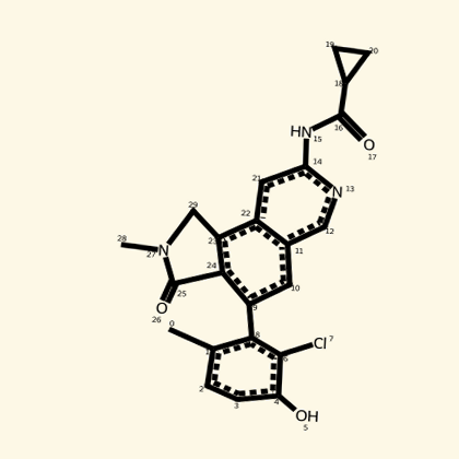 Cc1ccc(O)c(Cl)c1-c1cc2cnc(NC(=O)C3CC3)cc2c2c1C(=O)N(C)C2